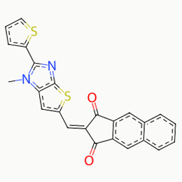 Cn1c(-c2cccs2)nc2sc(C=C3C(=O)c4cc5ccccc5cc4C3=O)cc21